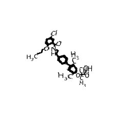 CCCCOc1ccc(Cl)cc1C(=O)NCCc1ccc(-c2cc(C)c(OC(C)(C)C(=O)O)cc2C)cc1